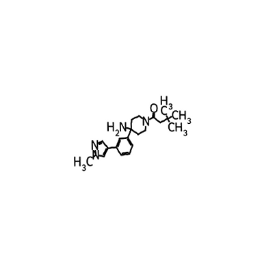 Cn1cc(-c2cccc(C3(N)CCN(C(=O)CC(C)(C)C)CC3)c2)cn1